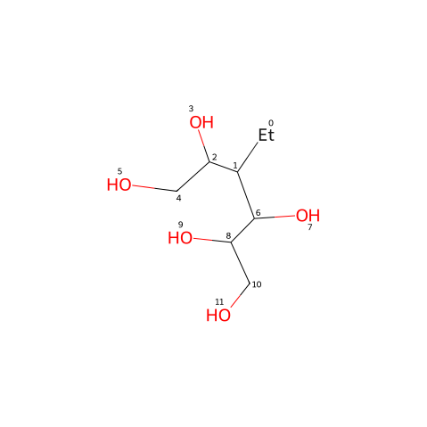 CCC(C(O)CO)C(O)C(O)CO